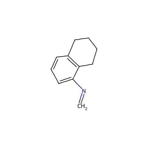 C=Nc1cccc2c1CCCC2